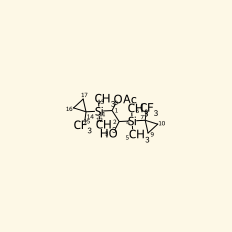 CC(=O)OC(C(O)[Si](C)(C)C1(C(F)(F)F)CC1)[Si](C)(C)C1(C(F)(F)F)CC1